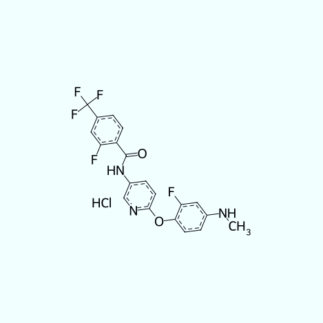 CNc1ccc(Oc2ccc(NC(=O)c3ccc(C(F)(F)F)cc3F)cn2)c(F)c1.Cl